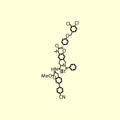 CC[C@@H](c1ccccc1)N1Cc2cc3c(cc2CC1C(=O)N[C@@](C)(Cc1ccc(-c2ccc(C#N)cc2)cc1)C(=O)OC)N(C)C(=O)[C@H](c1ccc(OCc2ccc(Cl)c(Cl)c2)cc1)O3